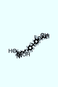 CC(C)(c1ccc(OCC(O)Cn2nncc2CO)cc1)c1ccc(OCC(O)CCl)c(I)c1